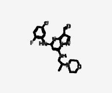 CC(CNc1cc(Nc2cc(Cl)ccc2F)nc2c(C=O)cnn12)N1CCOCC1